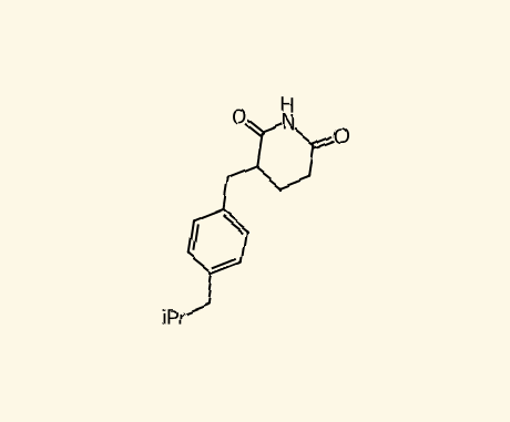 CC(C)Cc1ccc(CC2CCC(=O)NC2=O)cc1